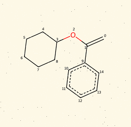 C=C(OC1CCCCC1)c1ccccc1